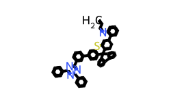 C=C/C=N\c1ccccc1C1C=C2Sc3cc(-c4cccc(-c5nc(-c6ccccc6)nc(-c6ccccc6)n5)c4)ccc3C3(C2=CC1)c1ccccc1-c1ccccc13